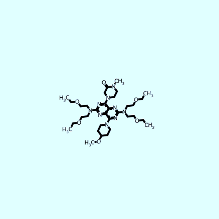 CCOCCN(CCOCC)c1nc(N2CCN(C)C(=O)C2)c2nc(N(CCOCC)CCOCC)nc(N3CCC(OC)CC3)c2n1